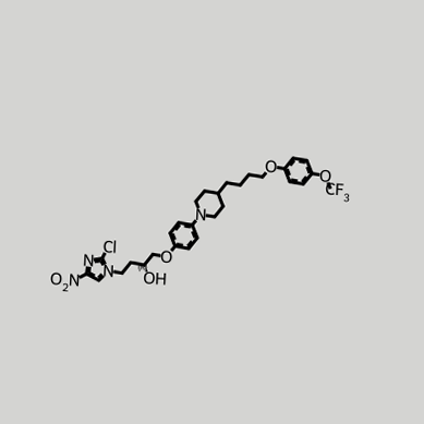 O=[N+]([O-])c1cn(CC[C@@H](O)COc2ccc(N3CCC(CCCCOc4ccc(OC(F)(F)F)cc4)CC3)cc2)c(Cl)n1